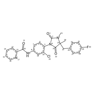 CN1C(=O)N(c2ccc(NC(=O)c3ccccn3)cc2Cl)C(=O)C1(C)Cc1ccc(F)cc1